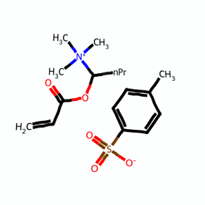 C=CC(=O)OC(CCC)[N+](C)(C)C.Cc1ccc(S(=O)(=O)[O-])cc1